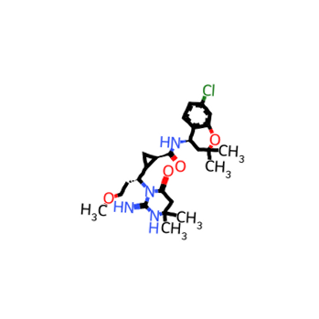 COCC[C@H](C1C[C@H]1C(=O)N[C@@H]1CC(C)(C)Oc2cc(Cl)ccc21)N1C(=N)NC(C)(C)CC1=O